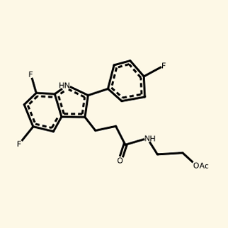 CC(=O)OCCNC(=O)CCc1c(-c2ccc(F)cc2)[nH]c2c(F)cc(F)cc12